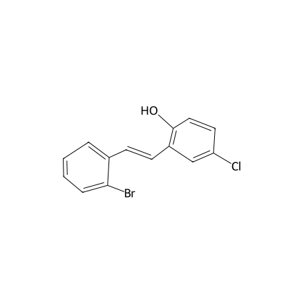 Oc1ccc(Cl)cc1/C=C/c1ccccc1Br